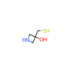 OC1(CS)CNC1